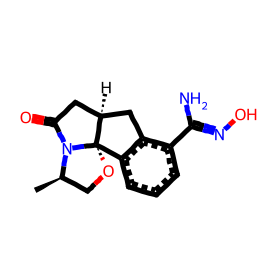 C[C@@H]1CO[C@@]23c4cccc(/C(N)=N/O)c4C[C@@H]2CC(=O)N13